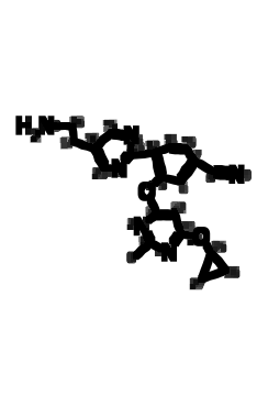 Cc1nc(Oc2cc(C#N)ccc2-c2ncc(CCN)cn2)cc(OC2CC2)n1